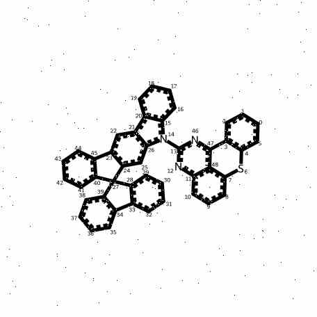 c1ccc2c(c1)Sc1cccc3nc(-n4c5ccccc5c5cc6c(cc54)C4(c5ccccc5-c5ccccc54)c4ccccc4-6)nc-2c13